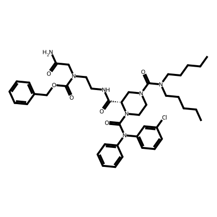 CCCCCN(CCCCC)C(=O)N1CCN(C(=O)N(c2ccccc2)c2cccc(Cl)c2)[C@H](C(=O)NCCN(CC(N)=O)C(=O)OCc2ccccc2)C1